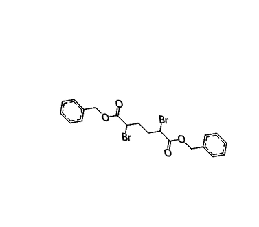 O=C(OCc1ccccc1)C(Br)CCC(Br)C(=O)OCc1ccccc1